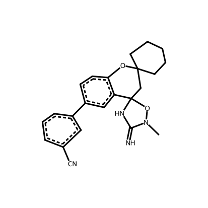 CN1OC2(CC3(CCCCC3)Oc3ccc(-c4cccc(C#N)c4)cc32)NC1=N